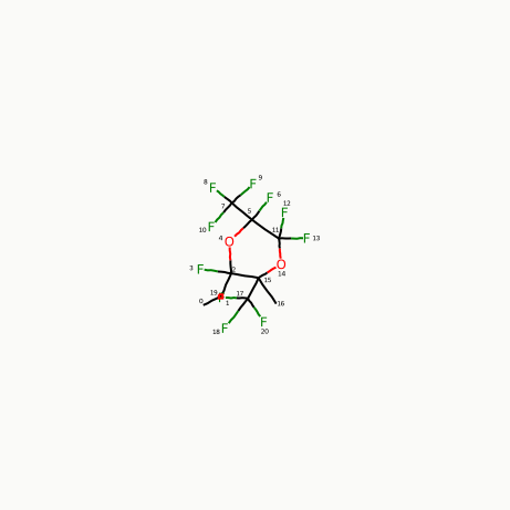 CCC1(F)OC(F)(C(F)(F)F)C(F)(F)OC1(C)C(F)(F)F